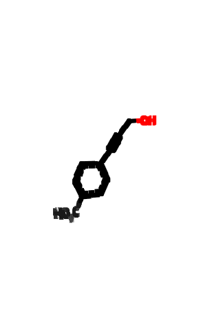 O=C(O)c1ccc(C#CCO)cc1